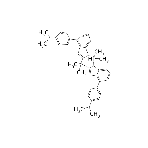 CC(C)c1ccc(-c2cccc3c2C=C2[CH]3[Hf]([CH3])([CH3])[CH]3C(=Cc4c(-c5ccc(C(C)C)cc5)cccc43)C2(C)C)cc1